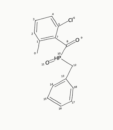 Cc1cccc(Cl)c1C(=O)[PH](=O)Cc1ccccc1